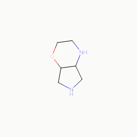 [CH]1CNC2CNCC2O1